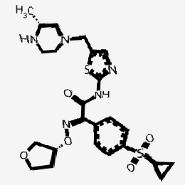 C[C@@H]1CN(Cc2cnc(NC(=O)/C(=N/O[C@@H]3CCOC3)c3ccc(S(=O)(=O)C4CC4)cc3)s2)CCN1